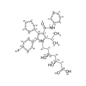 CC(C)c1c(C(=O)Nc2ccccc2)c(-c2ccccc2)c(-c2ccc(F)cc2)n1CC[C@H](O)C[C@H](O)CC(=O)O